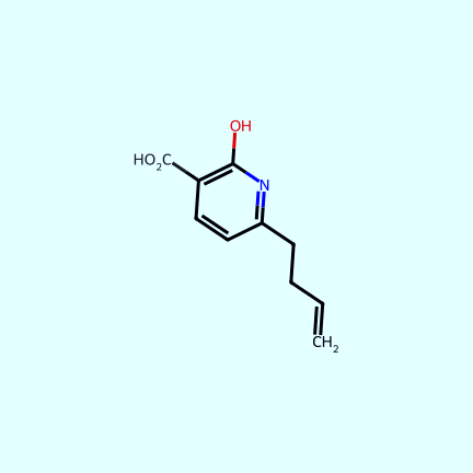 C=CCCc1ccc(C(=O)O)c(O)n1